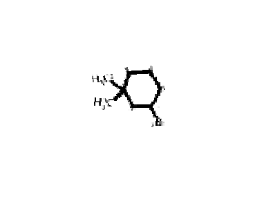 CC1(C)[CH]CCC(Br)C1